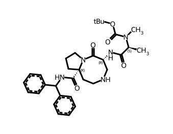 C[C@@H](C(=O)N[C@@H]1CNCC[C@@]2(C(=O)NC(c3ccccc3)c3ccccc3)CCCN2C1=O)N(C)C(=O)OC(C)(C)C